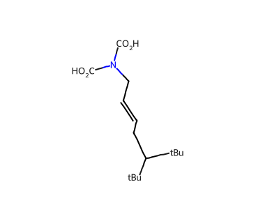 CC(C)(C)C(CC=CCN(C(=O)O)C(=O)O)C(C)(C)C